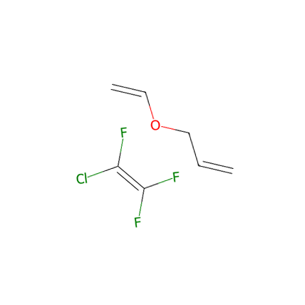 C=CCOC=C.FC(F)=C(F)Cl